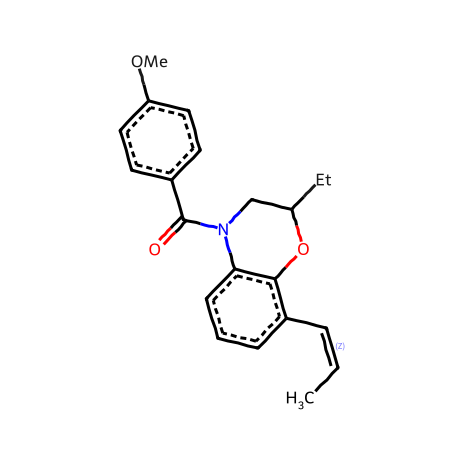 C/C=C\c1cccc2c1OC(CC)CN2C(=O)c1ccc(OC)cc1